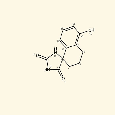 O=C1NC(=O)C2(CCCc3c(O)cccc32)N1